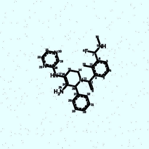 C=C(c1cccc(C(F)NC)c1C)N1CCC(Nc2cnccn2)=C(N)C1c1ccccc1